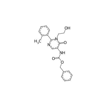 Cc1ccccc1-c1ncc(NC(=O)OCc2ccccc2)c(=O)n1CCO